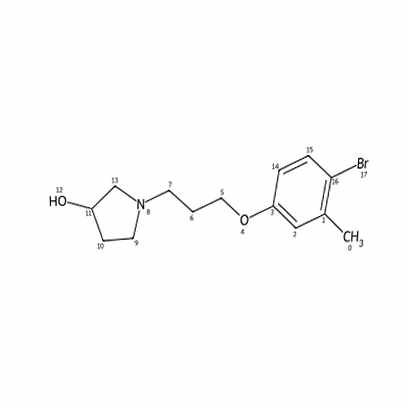 Cc1cc(OCCCN2CCC(O)C2)ccc1Br